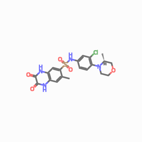 Cc1cc2[nH]c(=O)c(=O)[nH]c2cc1S(=O)(=O)Nc1ccc(N2CCOC[C@H]2C)c(Cl)c1